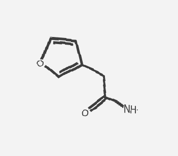 [NH]C(=O)Cc1ccoc1